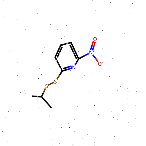 CC(C)SSc1cccc([N+](=O)[O-])n1